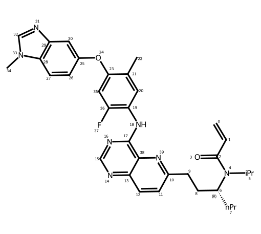 C=CC(=O)N(C(C)C)[C@H](CCC)CCc1ccc2ncnc(Nc3cc(C)c(Oc4ccc5c(c4)ncn5C)cc3F)c2n1